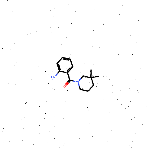 CC1(C)CCCN(C(=O)c2ccccc2N)C1